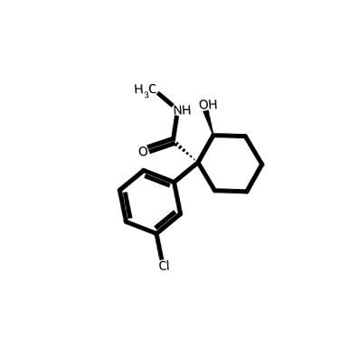 CNC(=O)[C@@]1(c2cccc(Cl)c2)CCCC[C@@H]1O